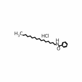 CCCCCCCCCCCCCCCCNC(=O)c1ccccc1.Cl